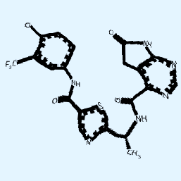 C[C@H](NC(=O)c1ncnc2c1CC(=O)N2)c1ncc(C(=O)Nc2ccc(Cl)c(C(F)(F)F)c2)s1